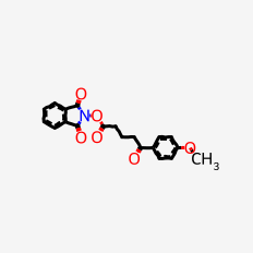 COc1ccc(C(=O)CCCC(=O)ON2C(=O)c3ccccc3C2=O)cc1